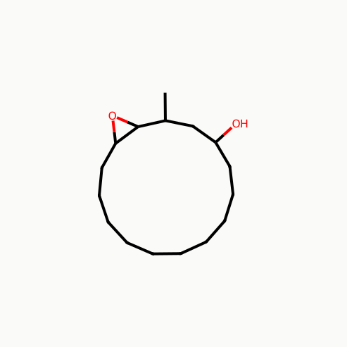 CC1CC(O)CCCCCCCCCCC2OC12